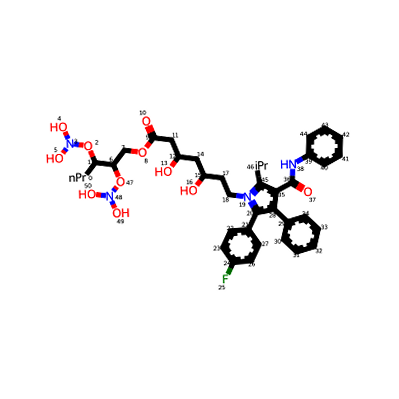 CCCC(ON(O)O)C(COC(=O)CC(O)CC(O)CCn1c(-c2ccc(F)cc2)c(-c2ccccc2)c(C(=O)Nc2ccccc2)c1C(C)C)ON(O)O